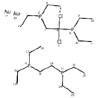 CCP(CC)CC(Cl)(Cl)P(CC)CC.CCP(CC)CCP(CC)CC.[Au].[Au]